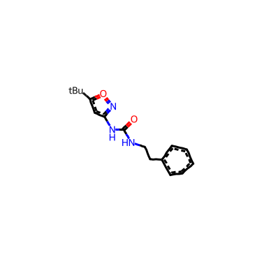 CC(C)(C)c1cc(NC(=O)NCCc2ccccc2)no1